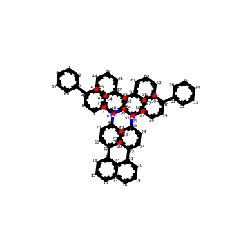 c1ccc(-c2ccc(N(c3ccc(-c4cccc5cccc(-c6ccc(N(c7ccc(-c8ccccc8)cc7)c7ccc8ccccc8c7)cc6)c45)cc3)c3ccc4ccccc4c3)cc2)cc1